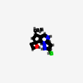 O=C(O)[C@H]1C[C@@]2(CCO2)c2c1cnc1cc(Cl)nn21